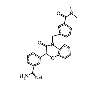 CN(C)C(=O)c1cccc(CN2C(=O)C(c3cccc(C(=N)N)c3)Oc3ccccc32)c1